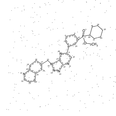 COP(=O)(c1cccc(-c2cnc3nnn(Cc4ccc5ncccc5c4)c3n2)c1)C1CCCCC1